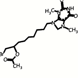 CC(=O)OC(CBr)CCCCCCCN1CN(C)c2c1n(C)c(=O)[nH]c2=O